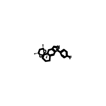 C[C@@H]1C[C@H](C)OC2(CCCC3=Cc4c(cnn4-c4ccc(F)cc4)C[C@@]32C)O1